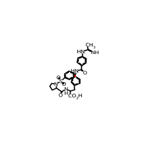 CC(=N)Nc1ccc(C(=O)Nc2ccc(CC(NC(=O)C3CCCN3S(=O)(=O)c3ccccc3)C(=O)O)cc2)cc1